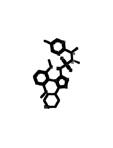 COc1cccc(OC)c1-n1c(NS(=O)(=O)[C@@H](C)[C@H](C)c2ncc(C)cn2)nnc1C1CCNCC1